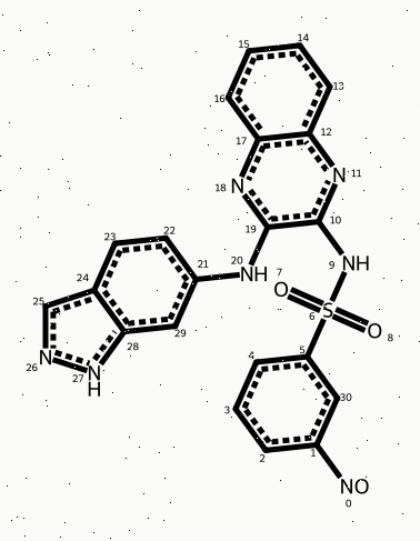 O=Nc1cccc(S(=O)(=O)Nc2nc3ccccc3nc2Nc2ccc3cn[nH]c3c2)c1